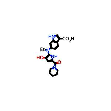 CCN(c1ccc2c(C(=O)O)c[nH]c2c1)c1[nH]c(C(=O)N2CCCCC2)cc1O